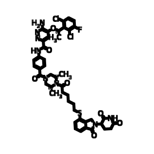 C[C@@H]1CN(C(=O)c2ccc(NC(=O)c3cc(O[C@H](C)c4c(Cl)ccc(F)c4Cl)c(N)nn3)cc2)C[C@H](C)N1C(=O)CCCCCSc1cccc2c1CN(C1CCC(=O)NC1=O)C2=O